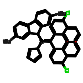 CC(C)(C)c1ccc2c(c1)[CH]([Zr](=[C](c1ccc(Cl)c3ccccc13)c1ccc(Cl)c3ccccc13)[CH]1C=CC=C1)c1cc(C(C)(C)C)ccc1-2